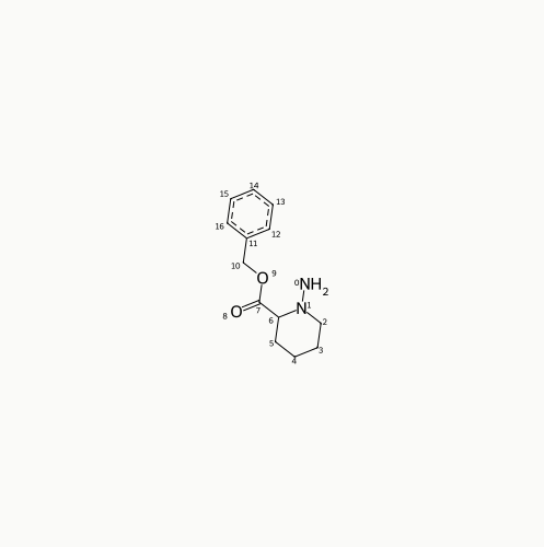 NN1CCCCC1C(=O)OCc1ccccc1